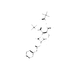 CC(C)(C)OC(=O)C1=C(C(=O)OOC(=O)C(C)(C)C)CS[C@@H]2C(NC(=O)CC3=CCC=CC3)C(=O)N12